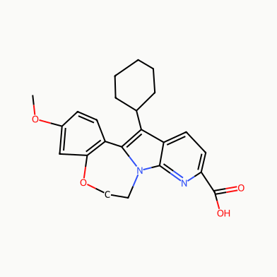 COc1ccc2c(c1)OCCn1c-2c(C2CCCCC2)c2ccc(C(=O)O)nc21